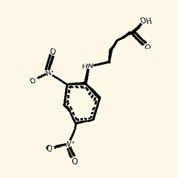 O=C(O)CCNc1ccc([N+](=O)[O-])cc1[N+](=O)[O-]